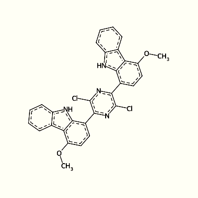 COc1ccc(-c2nc(Cl)c(-c3ccc(OC)c4c3[nH]c3ccccc34)nc2Cl)c2[nH]c3ccccc3c12